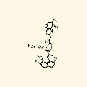 COc1c(F)ccc2ncc(Cl)c(CC(C)N3CCC(NCc4ccc5c(n4)NC(=O)CO5)CC3)c12.Cl.Cl